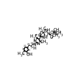 COC(=O)[C@H](CNC(=O)OC(C)(C)C)NC(=O)c1c(C)nc(NCCCc2ccc(C)c(O)c2)nc1C